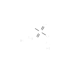 I.I.O=S(=O)([O-])[O-].[Ag+].[Ag+]